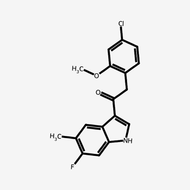 COc1cc(Cl)ccc1CC(=O)c1c[nH]c2cc(F)c(C)cc12